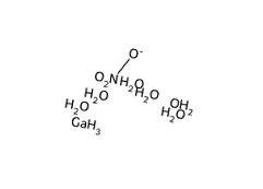 O.O.O.O.O.O.O=[N+]([O-])[O-].[GaH3]